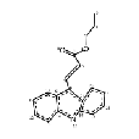 CCCOC(=O)C=Cc1c2ccccc2nc2ccccc12